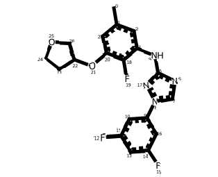 Cc1cc(Nc2ncn(-c3cc(F)cc(F)c3)n2)c(F)c(OC2CCOC2)c1